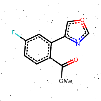 COC(=O)c1ccc(F)cc1-c1cocn1